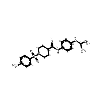 Cc1ccc(S(=O)(=O)N2CCC(C(=O)Nc3ccc(OC(C)C)cc3)CC2)cc1